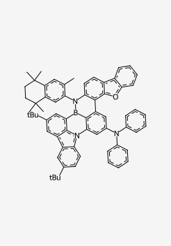 Cc1cc2c(cc1N1B3c4c(cc(N(c5ccccc5)c5ccccc5)cc4-n4c5ccc(C(C)(C)C)cc5c5cc(C(C)(C)C)cc3c54)-c3c1ccc1c3oc3ccccc31)C(C)(C)CCC2(C)C